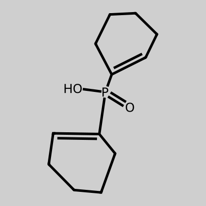 O=P(O)(C1=CCCCC1)C1=CCCCC1